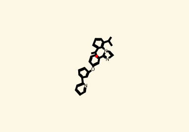 CC(C)c1cccc(C(C)C)c1-n1ccnc1-c1cccc(Oc2cccc(-c3ccccn3)c2)c1